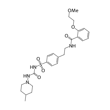 COCCOc1ccccc1C(=O)NCCc1ccc(S(=O)(=O)NC(=O)NN2CCC(C)CC2)cc1